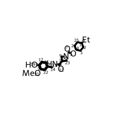 CCC1CCC(OC(=O)N2CC(C(=O)NCc3ccc(O)c(OC)c3)C2)CC1